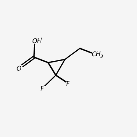 CCC1C(C(=O)O)C1(F)F